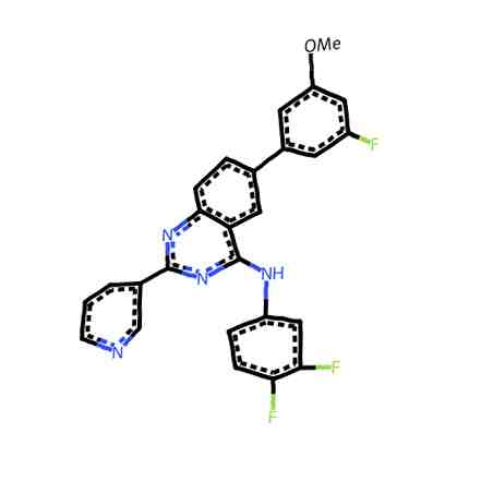 COc1cc(F)cc(-c2ccc3nc(-c4cccnc4)nc(Nc4ccc(F)c(F)c4)c3c2)c1